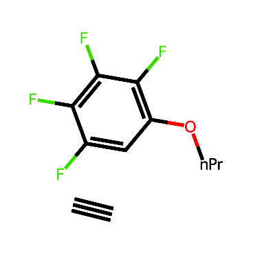 C#C.CCCOc1cc(F)c(F)c(F)c1F